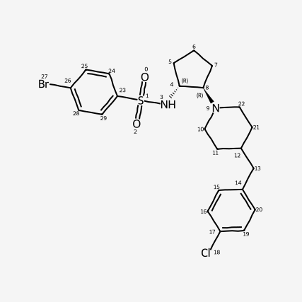 O=S(=O)(N[C@@H]1CCC[C@H]1N1CCC(Cc2ccc(Cl)cc2)CC1)c1ccc(Br)cc1